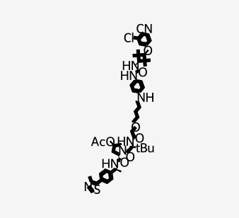 CC(=O)O[C@@H]1C[C@@H](C(=O)N[C@@H](C)c2ccc(-c3scnc3C)cc2)N(C(=O)[C@@H](NC(=O)COCCCCCNc2ccc(NC(=O)N[C@H]3C(C)(C)[C@H](Oc4ccc(C#N)c(Cl)c4)C3(C)C)cc2)C(C)(C)C)C1